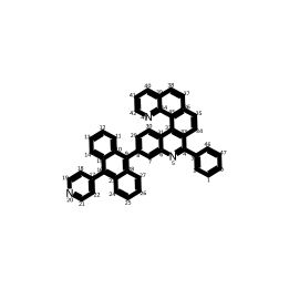 c1ccc(-c2nc3cc(-c4c5ccccc5c(-c5ccncc5)c5ccccc45)ccc3c3c2ccc2ccc4cccnc4c23)cc1